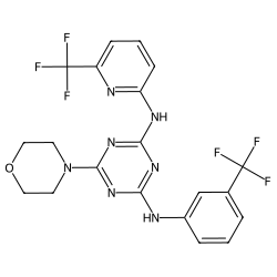 FC(F)(F)c1cccc(Nc2nc(Nc3cccc(C(F)(F)F)n3)nc(N3CCOCC3)n2)c1